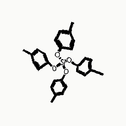 Cc1ccc(O[Si](Oc2ccc(C)cc2)(Oc2ccc(C)cc2)Oc2ccc(C)cc2)cc1